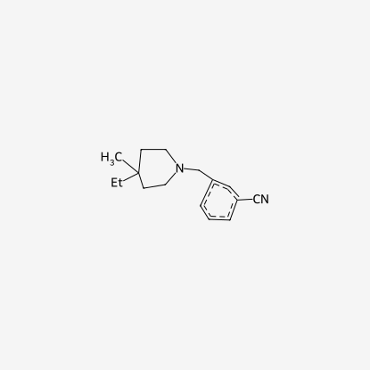 CCC1(C)CCN(Cc2cccc(C#N)c2)CC1